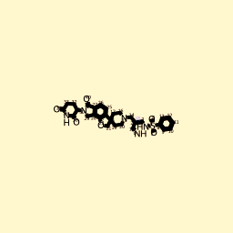 N=C/C(=C\NS(=O)(=O)c1ccccc1)CN1CCC2(CC1)COc1c2ccc2c1CN(C1CCC(=O)NC1=O)C2=O